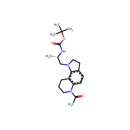 CC(=O)N1CCCc2c1ccc1c2N(C[C@H](C)NC(=O)OC(C)(C)C)CC1